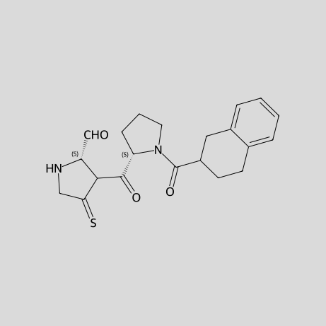 O=C[C@H]1NCC(=S)C1C(=O)[C@@H]1CCCN1C(=O)C1CCc2ccccc2C1